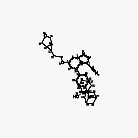 N#Cc1cnn2cc(OCCC3C4COCC34)cc(-c3ccc(N4CC5CC(C4)N5C4CCCC[C@H]4O)nc3)c12